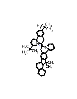 CC(C)(C)c1ccc2c(c1)C/C(=C1/Cc3cc4c(cc3-c3cccc[n+]31)C(C)(C)c1c-4ccc3ccccc13)[n+]1cc(C(C)(C)C)ccc1-2